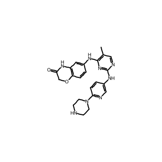 Cc1cnc(Nc2ccc(N3CCNCC3)nc2)nc1Nc1ccc2c(c1)NC(=O)CO2